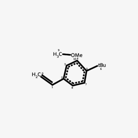 C=Cc1ccc(C(C)(C)C)cc1.COC